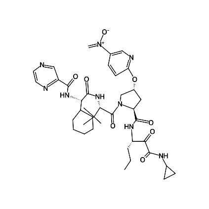 C=[N+]([O-])c1ccc(O[C@@H]2C[C@@H](C(=O)N[C@@H](CCC)C(=O)C(=O)NC3CC3)N(C(=O)[C@@H](NC(=O)[C@@H](NC(=O)c3cnccn3)C3CCCCC3)C(C)(C)C)C2)nc1